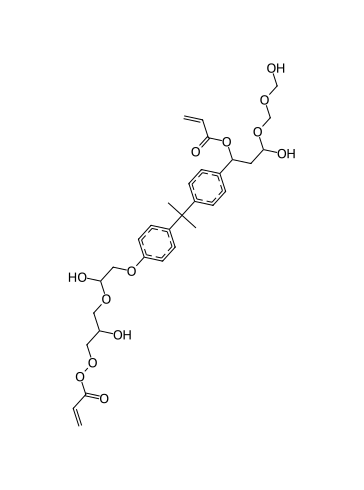 C=CC(=O)OOCC(O)COC(O)COc1ccc(C(C)(C)c2ccc(C(CC(O)OCOCO)OC(=O)C=C)cc2)cc1